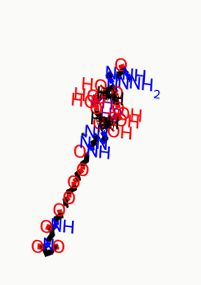 Nc1nc2c(ncn2[C@@H]2O[C@@H]3CO[PH](O)(O)O[C@H]4[C@@H](O)[C@H](n5cnc6c(NC(=O)CCOCCOCCOCCOCCNC(=O)CCN7C(=O)C=CC7=O)ncnc65)O[C@@H]4CO[PH](O)(O)O[C@H]3[C@H]2O)c(=O)[nH]1